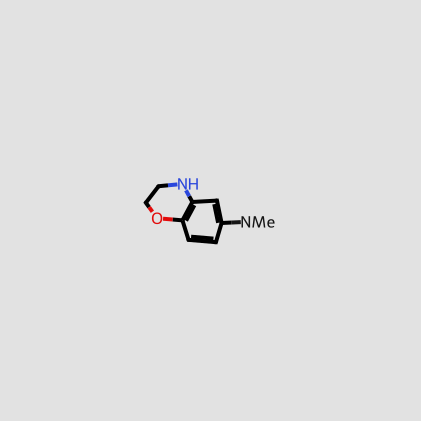 CNc1ccc2c(c1)NCCO2